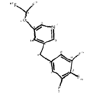 Fc1[c]c(Cc2cncc(OC(F)F)c2)cc(F)c1F